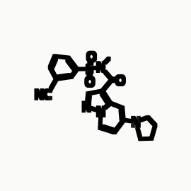 CN(C(=O)c1cnn2ccc(N3CCCC3)cc12)S(=O)(=O)c1cccc(C#N)c1